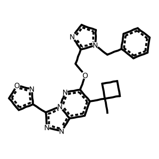 CC1(c2cc3nnc(-c4ccon4)n3nc2OCc2nccn2Cc2ccccc2)CCC1